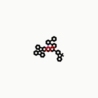 CC1(C)c2ccccc2-c2cc(-c3ccc(N(c4ccc5c(c4)-c4ccccc4C54c5ccccc5-c5ccccc54)c4cccc(-c5ccccc5)c4-c4ccccc4-c4ccccc4)cc3)ccc21